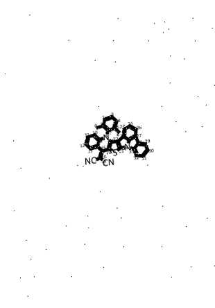 Cc1cccc(C)c1-n1c2ccccc2c(=C(C#N)C#N)c2sc3c(c4cccc5c6ccccc6n3c54)c21